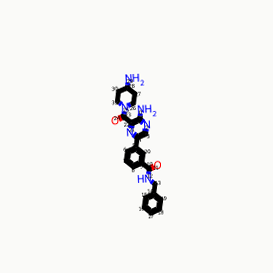 Nc1ncc(-c2cccc(C(=O)NCc3ccccc3)c2)nc1C(=O)N1CCC(N)CC1